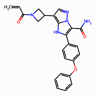 C=CC(=O)N1CC(c2cnn3c(C(N)=O)c(-c4ccc(Oc5ccccc5)cc4)[nH]c23)C1